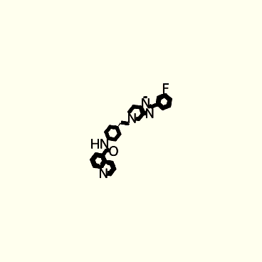 Cn1c(-c2cccc(F)c2)nc2c1CCN(CC[C@H]1CC[C@H](NC(=O)c3cccc4ncccc34)CC1)C2